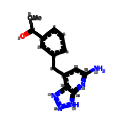 COC(=O)c1cccc(Cc2cc(N)nc3[nH]nnc23)c1